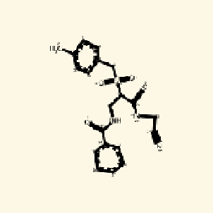 Cc1ccc(CS(=O)(=O)C(CNC(=O)c2ccccc2)C(=O)NCC#N)cc1